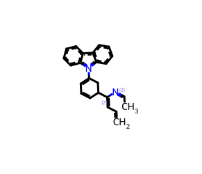 C=C/C=C(\N=C/C)C1C=CC=C(n2c3ccccc3c3ccccc32)C1